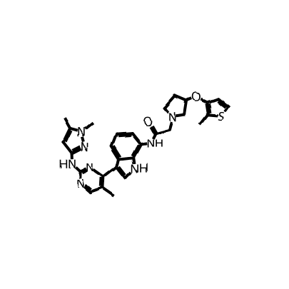 Cc1cnc(Nc2cc(C)n(C)n2)nc1-c1c[nH]c2c(NC(=O)CN3CCC(Oc4ccsc4C)C3)cccc12